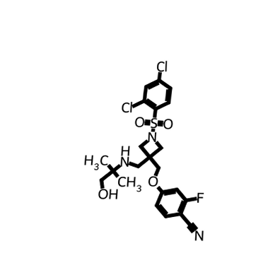 CC(C)(CO)NCC1(COc2ccc(C#N)c(F)c2)CN(S(=O)(=O)c2ccc(Cl)cc2Cl)C1